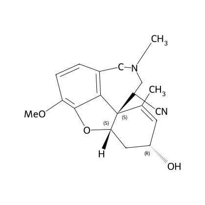 COc1ccc2c3c1O[C@H]1C[C@@H](O)C=C(C)[C@@]31C(C#N)CN(C)C2